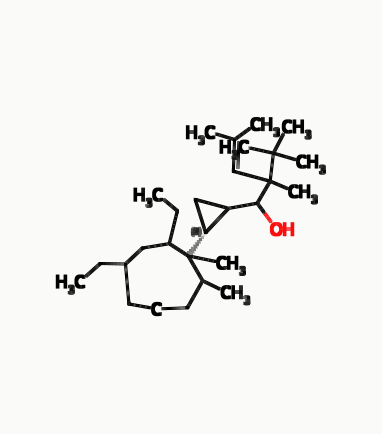 CCC1CCCC(C)C(C)([C@@H]2CC2C(O)C(C)(C=C(C)C)C(C)(C)C)C(CC)C1